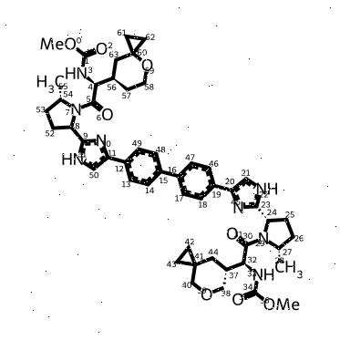 COC(=O)N[C@H](C(=O)N1C(c2nc(-c3ccc(-c4ccc(-c5c[nH]c([C@@H]6CC[C@H](C)N6C(=O)[C@@H](NC(=O)OC)[C@@H]6COCC7(CC7)C6)n5)cc4)cc3)c[nH]2)CC[C@@H]1C)[C@@H]1CCOC2(CC2)C1